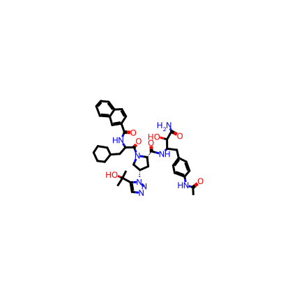 CC(=O)Nc1ccc(CC(NC(=O)[C@@H]2C[C@H](n3nncc3C(C)(C)O)CN2C(=O)C(CC2CCCCC2)NC(=O)c2ccc3ccccc3c2)C(O)C(N)=O)cc1